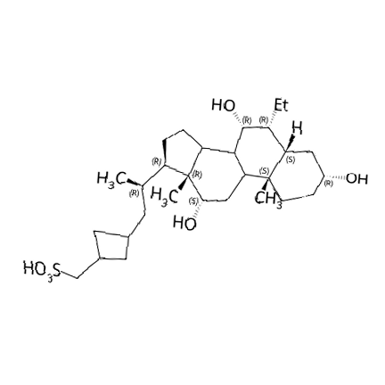 CC[C@H]1[C@@H](O)C2C3CC[C@H]([C@H](C)CC4CC(CS(=O)(=O)O)C4)[C@@]3(C)[C@@H](O)CC2[C@@]2(C)CC[C@@H](O)C[C@@H]12